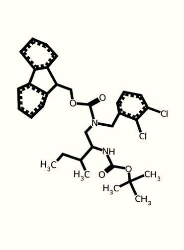 CCC(C)C(CN(Cc1cccc(Cl)c1Cl)C(=O)OCC1c2ccccc2-c2ccccc21)NC(=O)OC(C)(C)C